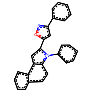 c1ccc(-c2cc(-c3cc4c5ccccc5ccc4n3-c3ccccc3)on2)cc1